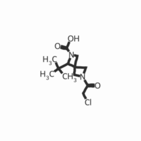 CC(C)(C)C1N(C(=O)O)CC12CN(C(=O)CCl)C2